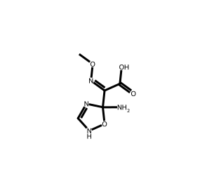 CON=C(C(=O)O)C1(N)N=CNO1